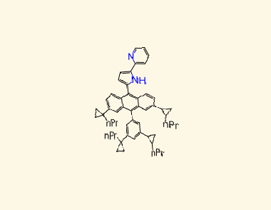 CCCC1CC1c1cc(-c2c3cc(C4CC4CCC)ccc3c(-c3ccc(-c4ccccn4)[nH]3)c3ccc(C4(CCC)CC4)cc23)cc(C2(CCC)CC2)c1